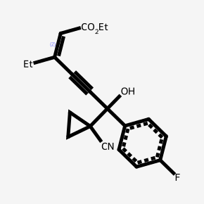 CCOC(=O)/C=C(\C#CC(O)(c1ccc(F)cc1)C1(C#N)CC1)CC